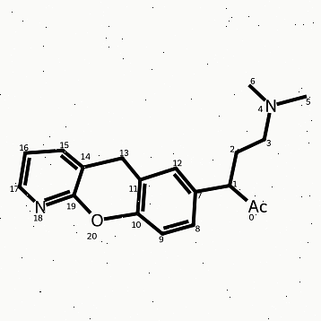 CC(=O)C(CCN(C)C)c1ccc2c(c1)Cc1cccnc1O2